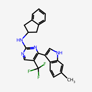 Cc1ccc2c(-c3nc(NC4Cc5ccccc5C4)ncc3C(F)(F)F)c[nH]c2c1